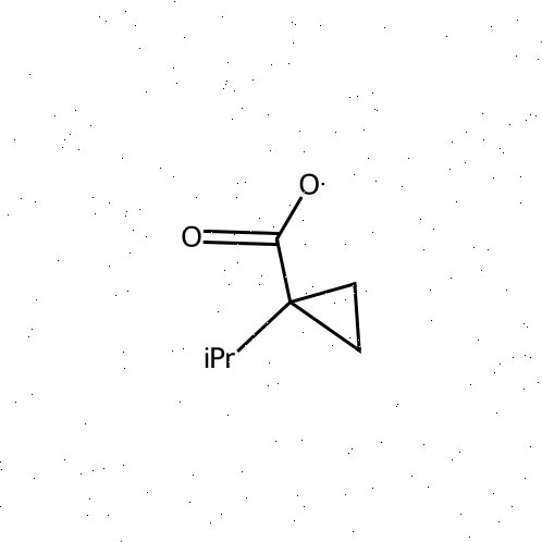 CC(C)C1(C([O])=O)CC1